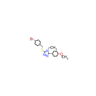 CCn1c(SCc2ccc(Br)cc2)nnc1-c1ccc(OC)cc1